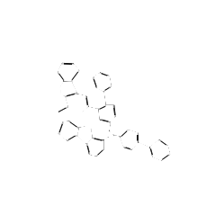 C=Cc1oc2ccccc2c1/C=C(\C)c1cc(N(c2ccc(-c3ccccc3)cc2)c2cccc3c2sc2ccccc23)ccc1-c1ccccc1